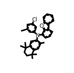 Cc1cc(Cl)cc(N(c2cc3c(cc2C)C(C)(C)CCC3(C)C)c2cccc3c2oc2ccccc23)c1